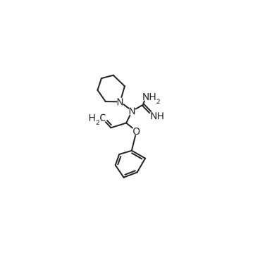 C=CC(Oc1ccccc1)N(C(=N)N)N1CCCCC1